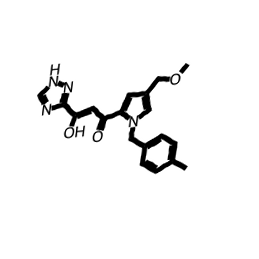 COCc1cc(C(=O)C=C(O)c2nc[nH]n2)n(Cc2ccc(C)cc2)c1